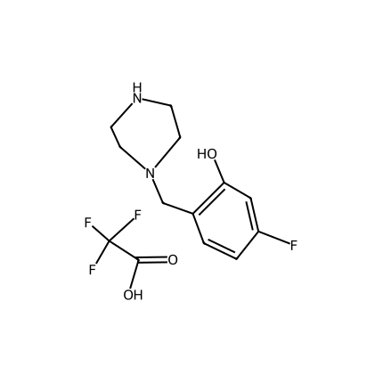 O=C(O)C(F)(F)F.Oc1cc(F)ccc1CN1CCNCC1